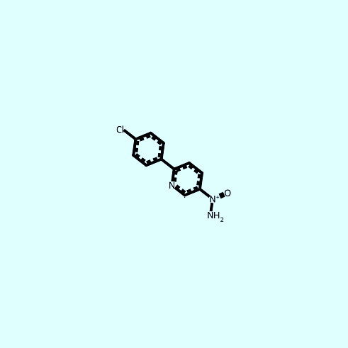 N[N+](=O)c1[c]nc(-c2ccc(Cl)cc2)cc1